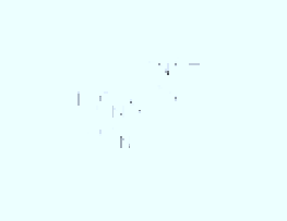 CN(C)C(=O)CNN(C)C(=O)N1CCCCC1